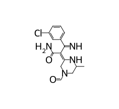 CC1CN(C=O)C/C(=C(/C(=N)c2cccc(Cl)c2)C(N)=O)N1